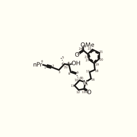 CCCC#CC[C@H](C)[C@@H](O)C=C[C@H]1CCC(=O)N1CCCc1cccc(C(=O)OC)c1